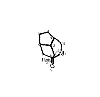 NCC1C2CCC1CC(=O)NC2